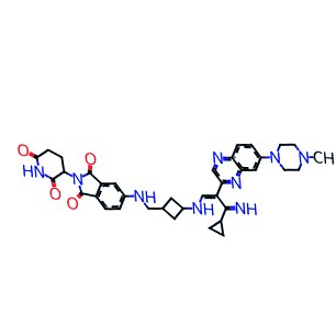 CN1CCN(c2ccc3ncc(/C(=C/NC4CC(CNc5ccc6c(c5)C(=O)N(C5CCC(=O)NC5=O)C6=O)C4)C(=N)C4CC4)nc3c2)CC1